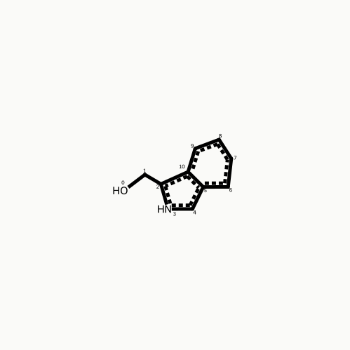 OCc1[nH]cc2ccccc12